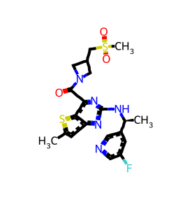 Cc1cc2nc(N[C@@H](C)c3cncc(F)c3)nc(C(=O)N3CC(CS(C)(=O)=O)C3)c2s1